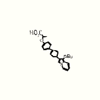 CCCCc1c(-c2ccc(-c3ccc(OC(C)C(=O)O)cc3)cc2)cn2ccccc12